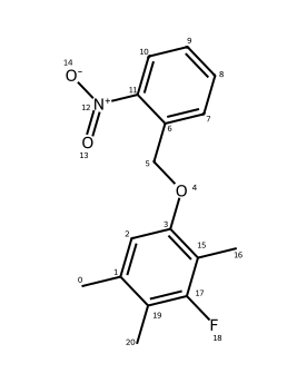 Cc1cc(OCc2ccccc2[N+](=O)[O-])c(C)c(F)c1C